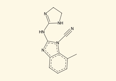 Cc1cccc2nc(NC3=NCCN3)n(C#N)c12